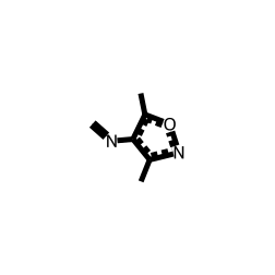 C=Nc1c(C)noc1C